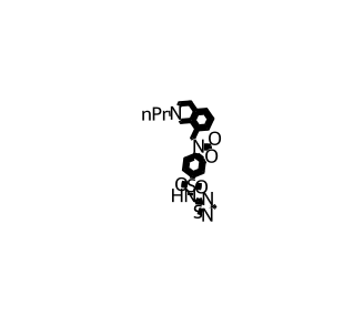 CCCN1CCc2cccc(Cn3c(=O)oc4cc(S(=O)(=O)Nc5ncns5)ccc43)c2C1